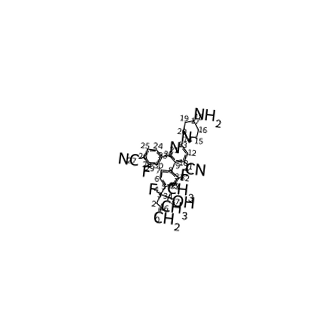 C=CCC(F)(c1ccc(-c2c(C#N)cc(N3CCC(N)CC3)nc2-c2ccc(C#N)c(F)c2)c(F)c1)C(C)(C)O